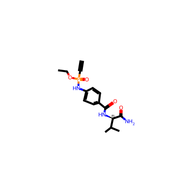 C#CP(=O)(Nc1ccc(C(=O)N[C@@H](C(N)=O)C(C)C)cc1)OCC